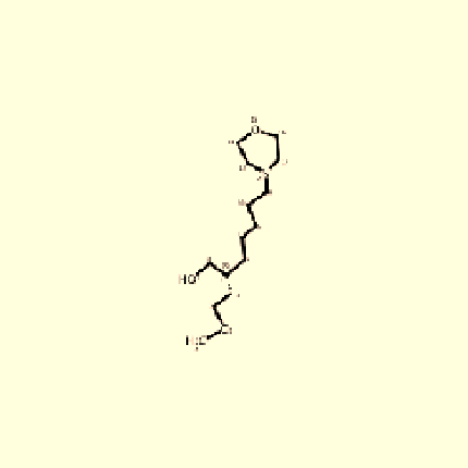 [CH2]OCC[C@H](CO)CCCCCN1CCOCC1